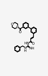 N=C(NCc1ccccc1)NC(=O)C=Cc1cccc(-c2cccc(C(=O)N3CCOCC3)c2)c1